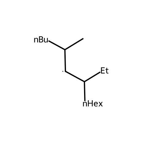 CCCCCCC([CH]C(C)CCCC)CC